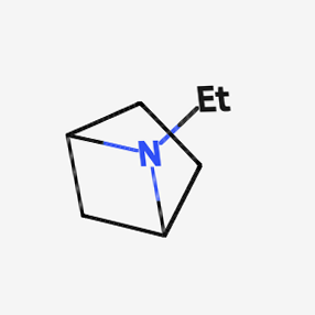 [CH2]CN1C2CCC1C2